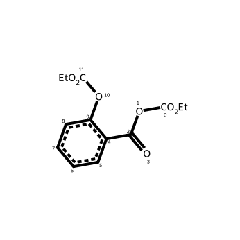 CCOC(=O)OC(=O)c1ccccc1OC(=O)OCC